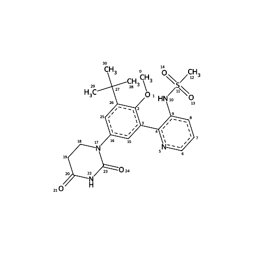 COc1c(-c2ncccc2NS(C)(=O)=O)cc(N2CCC(=O)NC2=O)cc1C(C)(C)C